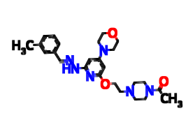 CC(=O)N1CCN(CCOc2cc(N3CCOCC3)cc(NN=Cc3cccc(C)c3)n2)CC1